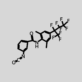 Cc1cc(C(F)(C(F)(F)F)C(F)(F)C(F)(F)F)cc(C)c1NC(=O)c1cccc(N=C=O)c1